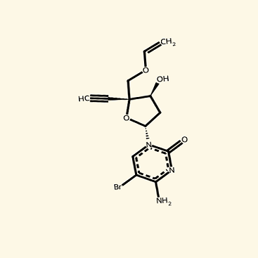 C#C[C@]1(COC=C)O[C@@H](n2cc(Br)c(N)nc2=O)C[C@@H]1O